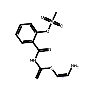 C=C(NC(=O)c1ccccc1OS(C)(=O)=O)S/C=C\N